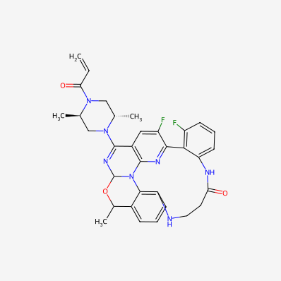 C=CC(=O)N1C[C@H](C)N(C2=NC3OC(C)c4cccc5c4N3c3nc(c(F)cc32)-c2c(F)cccc2NC(=O)CCN5)C[C@H]1C